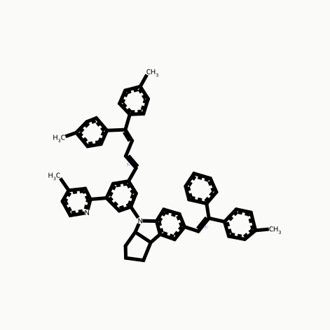 Cc1ccc(C(=C/C=C/c2cc(-c3cc(C)ccn3)cc(N3c4ccc(/C=C(\c5ccccc5)c5ccc(C)cc5)cc4C4CCCC43)c2)c2ccc(C)cc2)cc1